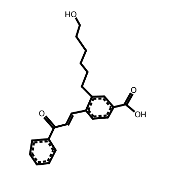 O=C(O)c1ccc(/C=C/C(=O)c2ccccc2)c(CCCCCCO)c1